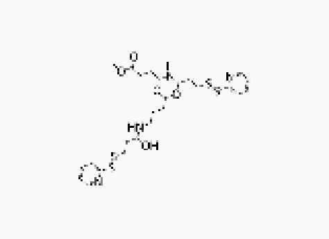 COC(=O)CCCNC(CCSSc1ccccn1)OC(=O)CCCNC(O)CCSSc1ccccn1